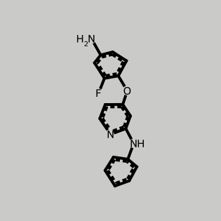 Nc1ccc(Oc2ccnc(Nc3ccccc3)c2)c(F)c1